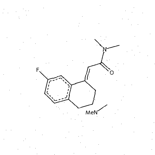 CN(C)C(=O)C=C1CCCc2ccc(F)cc21.CNC